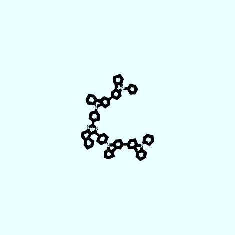 c1ccc(-n2c3ccccc3c3cc(-c4ccc5c(c4)c4ccccc4n5-c4ccc(-c5nc(-c6ccc(-n7c8ccccc8c8cc(-c9ccc%10c(c9)c9ccccc9n%10-c9ccccc9)ccc87)cc6)c6c(ccc7ccccc76)n5)cc4)ccc32)cc1